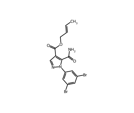 CC=CCOC(=O)c1cnn(-c2cc(Br)cc(Br)c2)c1C(N)=O